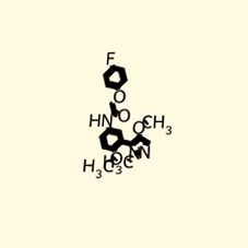 COc1ccc(NC(=O)COc2ccc(F)cc2)cc1-c1c(OC)cnn1C